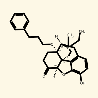 CC[N+]1(C)CC[C@]23c4c5ccc(O)c4O[C@H]2C(=O)CC[C@@]3(OCCCc2ccccc2)[C@H]1C5